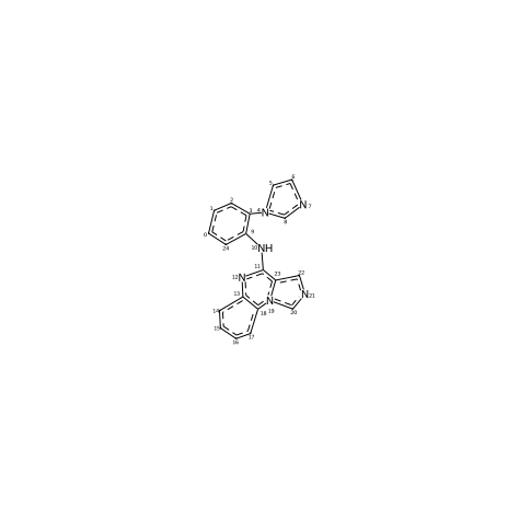 c1ccc(-n2ccnc2)c(Nc2nc3ccccc3n3cncc23)c1